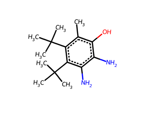 Cc1c(O)c(N)c(N)c(C(C)(C)C)c1C(C)(C)C